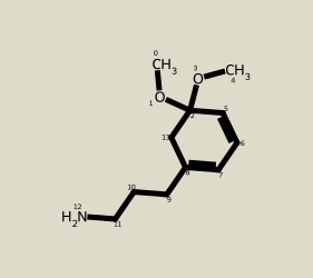 COC1(OC)C=CC=C(CCCN)C1